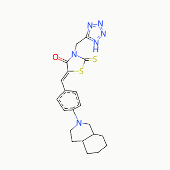 O=C1C(=Cc2ccc(N3CCC4CCCCC4C3)cc2)SC(=S)N1Cc1nnn[nH]1